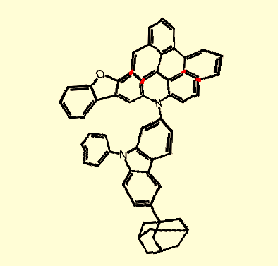 c1ccc(-c2cccc3cccc(-c4ccccc4N(c4ccc5oc6ccccc6c5c4)c4ccc5c6cc(C78CC9CC(CC(C9)C7)C8)ccc6n(-c6ccccc6)c5c4)c23)cc1